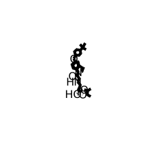 CCC(C)OP(=O)(O)CCNCC(=O)N1CCc2cc(OC3CCC(C(C)(C)C)CC3)ccc21